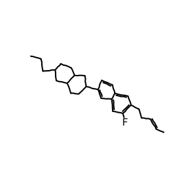 CC=CCCc1cc2ccc(C3CCC4CC(CCC)CCC4C3)cc2cc1F